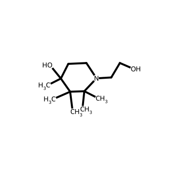 CC1(O)CCN(CCO)C(C)(C)C1(C)C